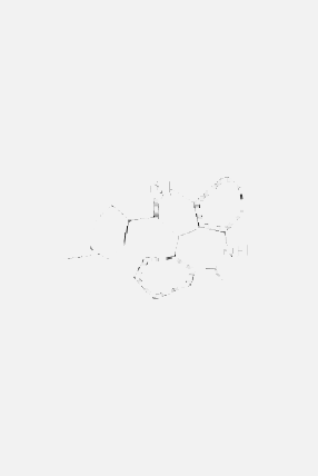 CN1CCC(C(=O)C2c3ccccc3C(=O)Nc3cccc(Cl)c32)CC1